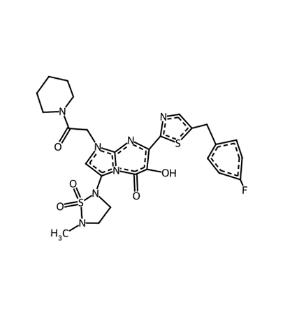 CN1CCN(c2cn(CC(=O)N3CCCCC3)c3nc(-c4ncc(Cc5ccc(F)cc5)s4)c(O)c(=O)n23)S1(=O)=O